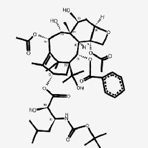 CC(=O)O[C@H]1C2=C(C)[C@@H](OC(=O)[C@H](O)[C@H](CC(C)C)NC(=O)OC(C)(C)C)C[C@@](C(C)(C)O)([C@@H](OC(=O)c3ccccc3)[C@@H]3[C@]4(OC(C)=O)CO[C@@H]4C[C@H](O)[C@@]3(C)[C@H]1O)C2(C)C